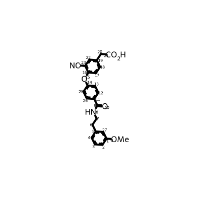 COc1cccc(CCNC(=O)c2ccc(Oc3ccc(CC(=O)O)cc3C#N)cc2)c1